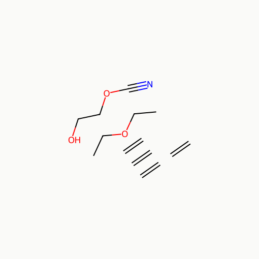 C=C.C=C.C=C.C=C.CCOCC.N#COCCO